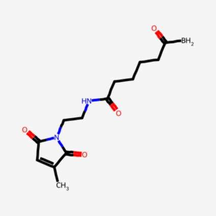 BC(=O)CCCCC(=O)NCCN1C(=O)C=C(C)C1=O